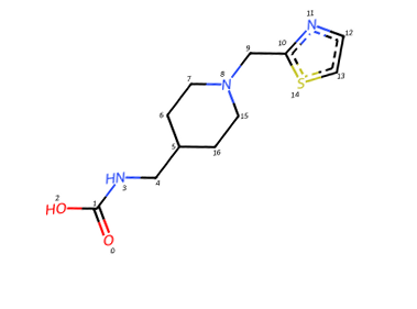 O=C(O)NCC1CCN(Cc2nccs2)CC1